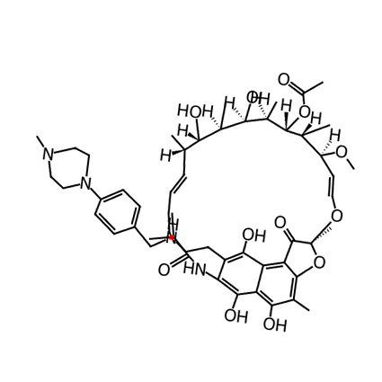 CO[C@H]1/C=C/O[C@@]2(C)Oc3c(C)c(O)c4c(O)c(c(CCNCc5ccc(N6CCN(C)CC6)cc5)c(O)c4c3C2=O)NC(=O)/C(C)=C\C=C\[C@H](C)[C@H](O)[C@@H](C)[C@@H](O)[C@@H](C)[C@H](OC(C)=O)[C@@H]1C